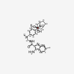 Cc1cnc2c(N)c(C(=O)NC[C@@H](C)c3ccc(N4CC5CCC(C4)N5C(=O)O)c(F)c3)sc2n1